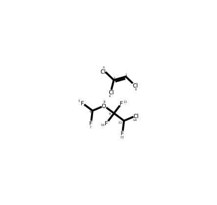 ClC=C(Cl)Cl.FC(F)OC(F)(F)C(F)Cl